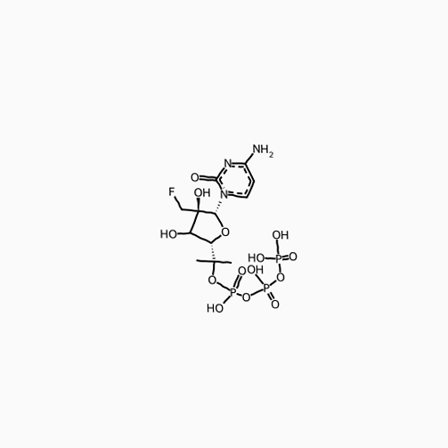 CC(C)(OP(=O)(O)OP(=O)(O)OP(=O)(O)O)[C@H]1O[C@@H](n2ccc(N)nc2=O)[C@@](O)(CF)C1O